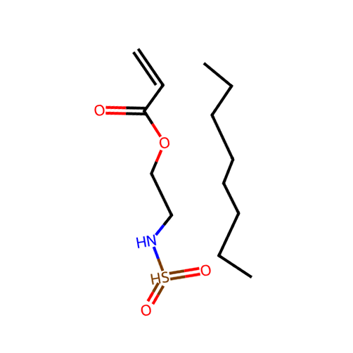 C=CC(=O)OCCN[SH](=O)=O.CCCCCCCC